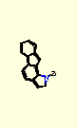 [Zr][N]1CC=c2ccc3c(c21)C=c1ccccc1=3